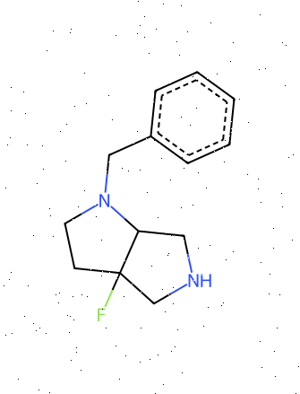 FC12CCN(Cc3ccccc3)C1CNC2